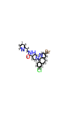 O=C(NCCc1ccccn1)C1CCN(C2c3ccc(Cl)cc3CCc3cc(Br)cnc32)CC1